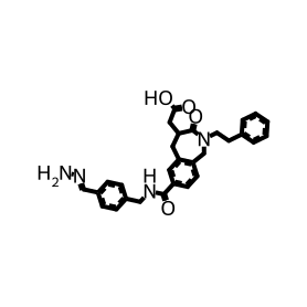 NN=Cc1ccc(CNC(=O)c2ccc3c(c2)CC(CC(=O)O)C(=O)N(CCc2ccccc2)C3)cc1